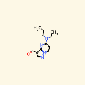 CCCN(CC)c1ccn2ncc(C=O)c2n1